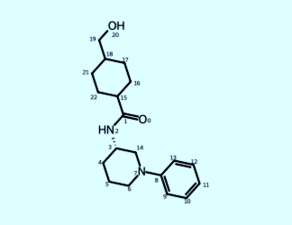 O=C(N[C@H]1CCCN(c2ccccc2)C1)C1CCC(CO)CC1